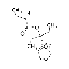 CCC(I)C(=O)OC(CC)(CC)c1cc2ccc1o2